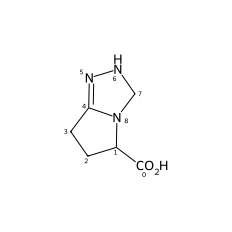 O=C(O)C1CCC2=NNCN21